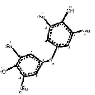 CC(C)(C)c1cc(Sc2cc(C(C)(C)C)c(O)c(C(C)(C)C)c2)cc(C(C)(C)C)c1O